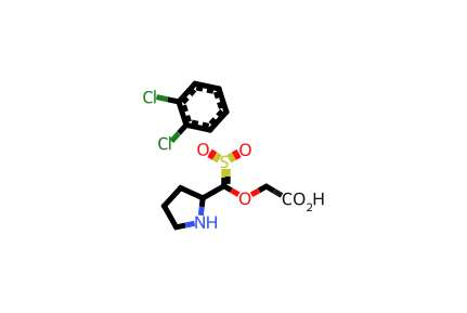 Clc1ccccc1Cl.O=C(O)COC(C1CCCN1)=S(=O)=O